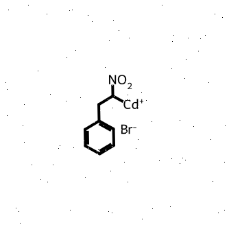 O=[N+]([O-])[CH]([Cd+])Cc1ccccc1.[Br-]